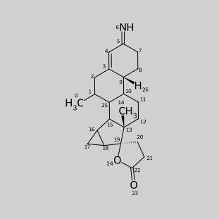 CC1CC2=CC(=N)CC[C@@H]2C2CC[C@@]3(C)C(C4CC4[C@@]34CCC(=O)O4)C12